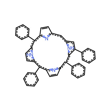 C1=Cc2nc1cc1cc(-c3ccccc3)c([nH]1)c(-c1ccccc1)c1nc(c(-c3ccccc3)c3ccc([nH]3)c2-c2ccccc2)C=C1